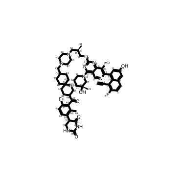 C#Cc1c(F)ccc2cc(O)cc(-c3ncc4c(N5CCC[C@@](C)(O)C5)nc(OC[C@H](C)CN5CCN(CC6CCC7(CC6)CCC(C(=O)c6c(F)ccc(C8CNC(=O)NC8=O)c6C)CN7)CC5)nc4c3F)c12